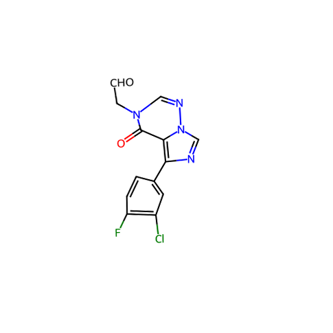 O=CCn1cnn2cnc(-c3ccc(F)c(Cl)c3)c2c1=O